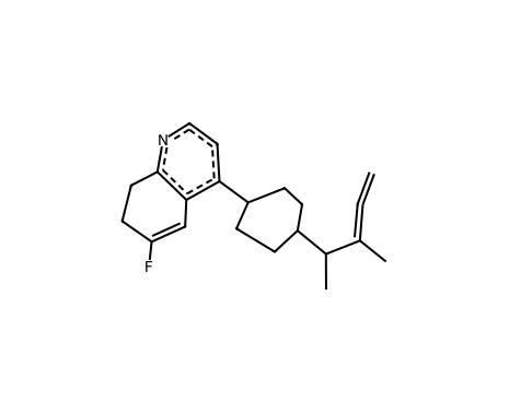 C=C=C(C)C(C)C1CCC(c2ccnc3c2C=C(F)CC3)CC1